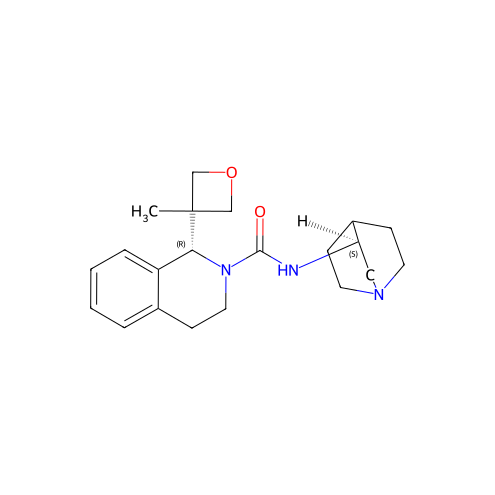 CC1([C@H]2c3ccccc3CCN2C(=O)N[C@@H]2CN3CCC2CC3)COC1